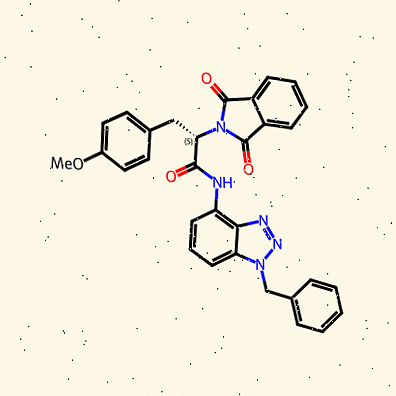 COc1ccc(C[C@@H](C(=O)Nc2cccc3c2nnn3Cc2ccccc2)N2C(=O)c3ccccc3C2=O)cc1